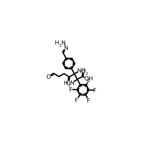 NN=Cc1ccc(C(N)(C(=O)CCC=O)C(N)(C(=O)O)c2c(F)c(F)c(F)c(F)c2F)cc1